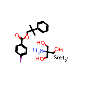 CC(C)(COC(=O)c1ccc(I)cc1)c1ccccc1.NC(CO)(CO)CO.[SnH2]